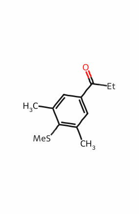 CCC(=O)c1cc(C)c(SC)c(C)c1